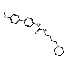 COc1ccc(-c2ccc(NC(=O)NCCCCN3CCCCC3)cn2)cc1